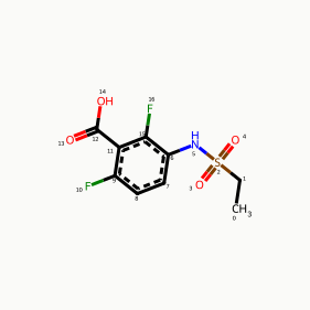 CCS(=O)(=O)Nc1ccc(F)c(C(=O)O)c1F